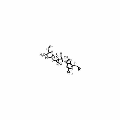 CC(C)OC(=O)[C@H](C)N[PH](=O)OC1[C@H]2O[C@@H](n3cnc4c(NC5CC5)nc(N)nc43)[C@](C)(O)[C@@]12O